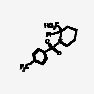 CC(C)C1(C(=O)O)CCCCN1S(=O)(=O)c1ccc(C(F)(F)F)cc1